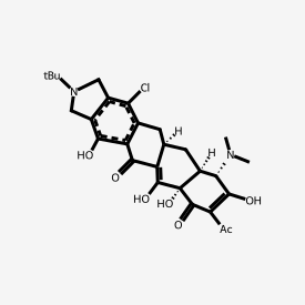 CC(=O)C1=C(O)[C@@H](N(C)C)[C@@H]2C[C@@H]3Cc4c(Cl)c5c(c(O)c4C(=O)C3=C(O)[C@]2(O)C1=O)CN(C(C)(C)C)C5